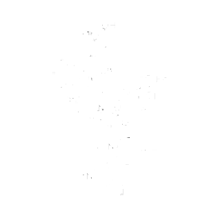 CCC[C@H]1N(Cc2cnccc2C(F)(F)F)CCC[C@@]1(Oc1csc(C(F)(F)F)c1)C(=O)N1CCC(O)(c2ccccc2OC(C)CCC(=O)O)CC1